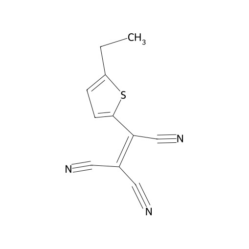 CCc1ccc(C(C#N)=C(C#N)C#N)s1